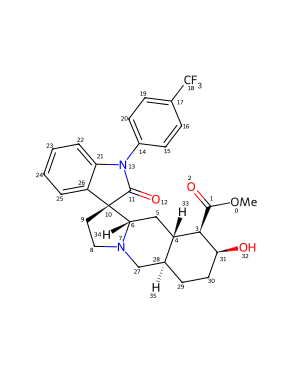 COC(=O)[C@@H]1[C@H]2C[C@@H]3N(CC[C@@]34C(=O)N(c3ccc(C(F)(F)F)cc3)c3ccccc34)C[C@@H]2CC[C@@H]1O